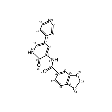 O=C(Nc1cc(-c2ccncc2)c[nH]c1=O)c1ccc2c(c1)OCO2